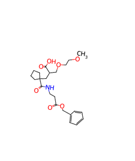 COCCOCC(CC1(C(=O)NCCC(=O)OCc2ccccc2)CCCC1)C(=O)O